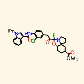 COC(=O)[C@H]1CC[C@H](OC(F)(C(=O)Cc2ccc(NC(=O)c3cn(C(C)C)c4ccccc34)c(Cl)c2)N2CCCC2)CC1